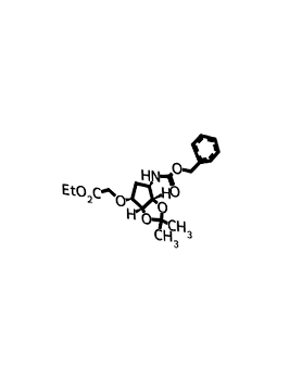 CCOC(=O)CO[C@H]1C[C@@H](NC(=O)OCc2ccccc2)[C@@H]2OC(C)(C)O[C@@H]21